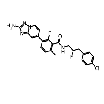 Cc1ccc(-c2ccn3nc(N)nc3c2)c(F)c1C(=O)NC[C@H](F)Cc1ccc(Cl)cc1